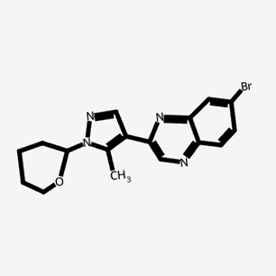 Cc1c(-c2cnc3ccc(Br)cc3n2)cnn1C1CCCCO1